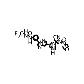 N#CCC1(N/C=C(\C=N)c2cnn3c(-c4cccc(NC(=O)NCC(F)(F)F)c4)cnc3c2)CN(C(=O)N2CCOCC2)C1